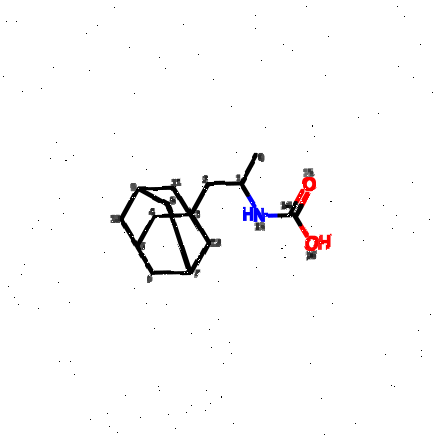 CC(CC12CC3CC(CC(C3)C1)C2)NC(=O)O